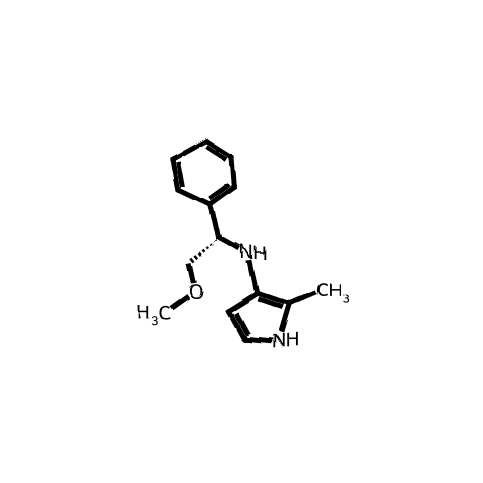 COC[C@@H](Nc1cc[nH]c1C)c1ccccc1